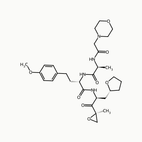 COc1ccc(CC[C@H](NC(=O)[C@H](C)NC(=O)CN2CCOCC2)C(=O)N[C@@H](C[C@H]2CCCO2)C(=O)[C@@]2(C)CO2)cc1